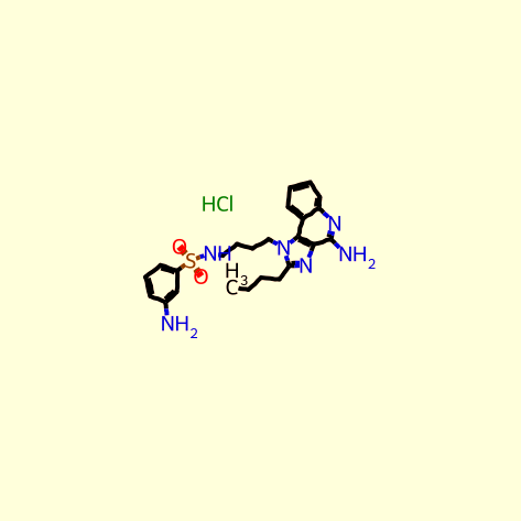 CCCCc1nc2c(N)nc3ccccc3c2n1CCCCNS(=O)(=O)c1cccc(N)c1.Cl